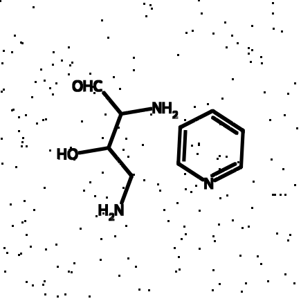 NCC(O)C(N)C=O.c1ccncc1